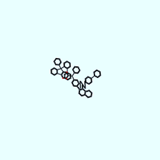 c1ccc(-c2ccc(-n3c4cc(C(c5ccccc5)c5ccc6c(c5)C(c5ccccc5)(c5ccccc5-c5ccccc5)c5ccccc5-6)ccc4c4ccc5ccccc5c43)cc2)cc1